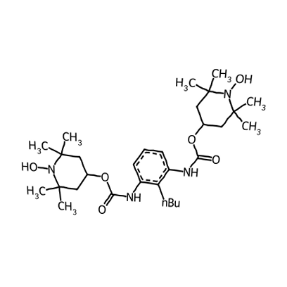 CCCCc1c(NC(=O)OC2CC(C)(C)N(O)C(C)(C)C2)cccc1NC(=O)OC1CC(C)(C)N(O)C(C)(C)C1